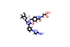 CCC(CCC1N=C(c2cccc(N/C=C\C=N)c2)C(=O)N1[C@H](C)c1ccc(C(=O)NCCC(=O)O)cc1)C(C)(C)C